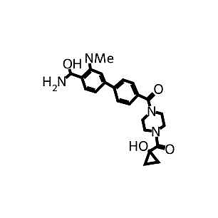 CNc1cc(-c2ccc(C(=O)N3CCN(C(=O)C4(O)CC4)CC3)cc2)ccc1C(N)O